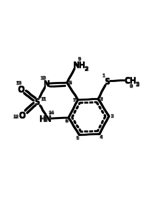 CSc1cccc2c1C(N)=NS(=O)(=O)N2